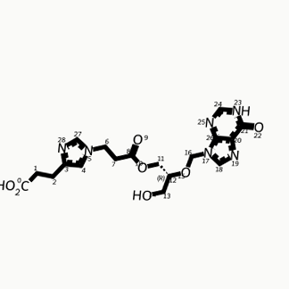 O=C(O)CCc1cn(CCC(=O)OC[C@@H](CO)OCn2cnc3c(=O)[nH]cnc32)cn1